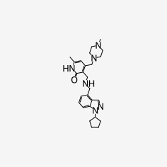 Cc1cc(CN2CCN(C)CC2)c(CNCc2cccc3c2cnn3C2CCCC2)c(=O)[nH]1